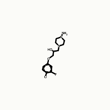 NN1CCN(CC(O)COc2ccc(Cl)c(F)c2)CC1